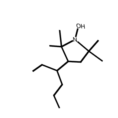 CCCC(CC)C1CC(C)(C)N(O)C1(C)C